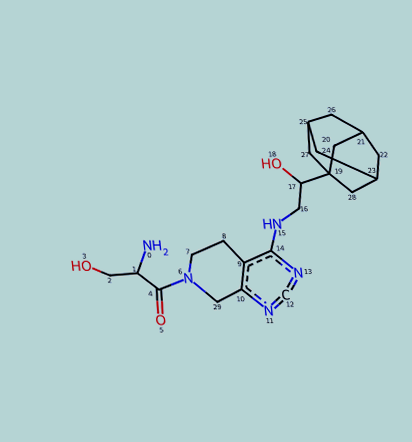 NC(CO)C(=O)N1CCc2c(ncnc2NCC(O)C23CC4CC(CC(C4)C2)C3)C1